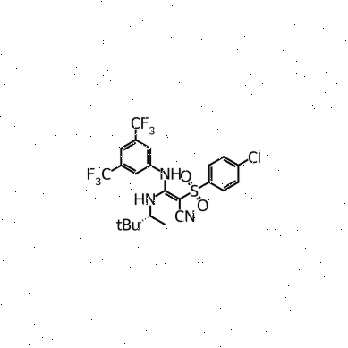 C[C@@H](NC(Nc1cc(C(F)(F)F)cc(C(F)(F)F)c1)=C(C#N)S(=O)(=O)c1ccc(Cl)cc1)C(C)(C)C